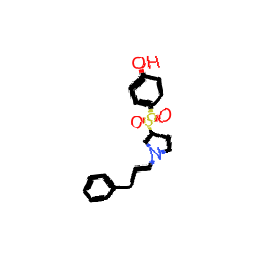 O=S(=O)(c1ccc(O)cc1)C1CCN(CCCc2ccccc2)C1